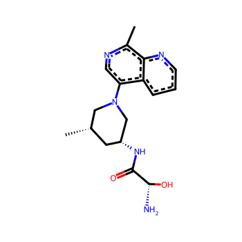 Cc1ncc(N2C[C@@H](C)C[C@@H](NC(=O)[C@@H](N)O)C2)c2cccnc12